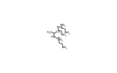 CCCNN(C)C.NCCN.NCCN.NCCN